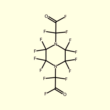 O=C(F)C(F)(F)N1C(F)(F)C(F)(F)N(C(F)(F)C(=O)F)C(F)(F)C1(F)F